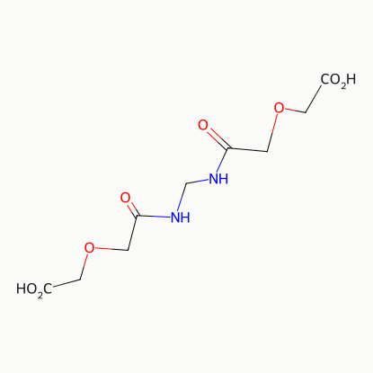 O=C(O)COCC(=O)NCNC(=O)COCC(=O)O